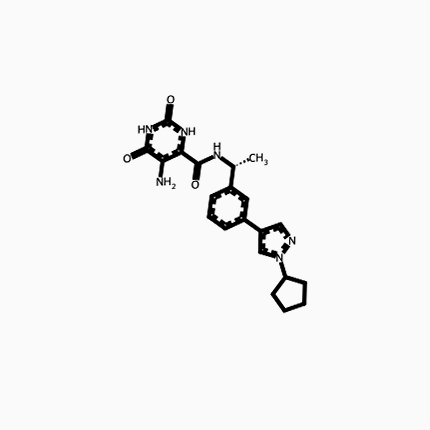 C[C@@H](NC(=O)c1[nH]c(=O)[nH]c(=O)c1N)c1cccc(-c2cnn(C3CCCC3)c2)c1